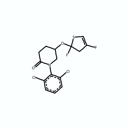 O=C1CCC(OC2(F)CC(F)=CS2)CN1c1c(Cl)cccc1Cl